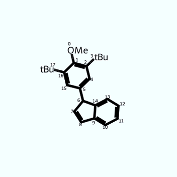 COc1c(C(C)(C)C)cc(C2C=Cc3ccccc32)cc1C(C)(C)C